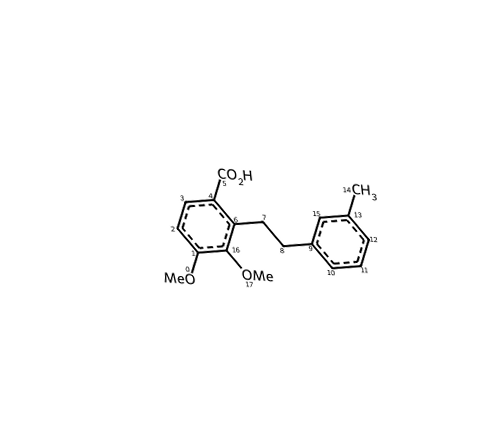 COc1ccc(C(=O)O)c(CCc2cccc(C)c2)c1OC